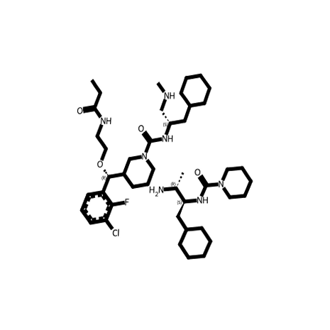 CCC(=O)NCCO[C@@H](c1cccc(Cl)c1F)C1CCCN(C(=O)N[C@H](CNC)CC2CCCCC2)C1.C[C@@H](N)[C@H](CC1CCCCC1)NC(=O)N1CCCCC1